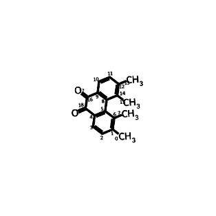 Cc1ccc2c(c1C)-c1c(ccc(C)c1C)C(=O)C2=O